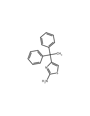 CC(c1ccccc1)(c1ccccc1)c1csc(N)n1